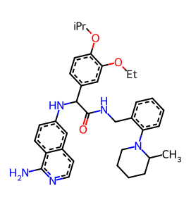 CCOc1cc(C(Nc2ccc3c(N)nccc3c2)C(=O)NCc2ccccc2N2CCCCC2C)ccc1OC(C)C